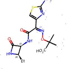 CC[C@H]1NC(=O)[C@H]1NC(=O)/C(=N\OC(C)(C)C(=O)O)c1csc(N)n1